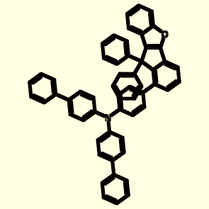 c1ccc(-c2ccc(N(c3ccc(-c4ccccc4)cc3)c3ccc(-c4cccc5c4C(c4ccccc4)(c4ccccc4)c4c-5oc5ccccc45)cc3)cc2)cc1